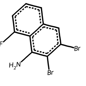 Nc1c(Br)c(Br)cc2cccc(F)c12